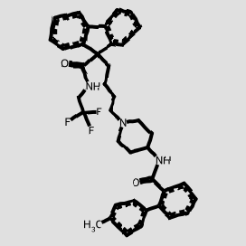 Cc1ccc(-c2ccccc2C(=O)NC2CCN(CCCCC3(C(=O)NCC(F)(F)F)c4ccccc4-c4ccccc43)CC2)cc1